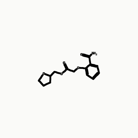 NC(=O)c1ccccc1OCC(=O)OCC1CCCO1